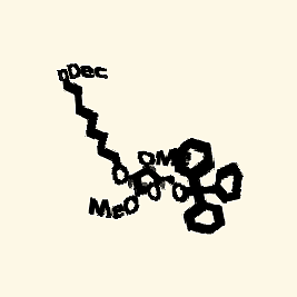 CCCCCCCCCCCCCCCCCCO[C@H]1[C@@H](OC)O[C@H](COC(c2ccccc2)(c2ccccc2)c2ccccc2)[C@@H]1OC